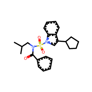 CC(C)CN(C(=O)c1ccccc1)S(=O)(=O)n1cc(C2CCCC2)c2ccccc21